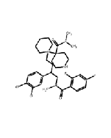 CN(C)C(=O)C1([N+]2(CCC(CN(C)C(=O)c3ccc(F)cc3F)c3ccc(Cl)c(Cl)c3)CCCCC2)CCNCC1